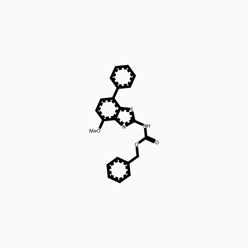 COc1ccc(-c2ccccc2)c2sc(NC(=O)OCc3ccccc3)nc12